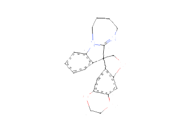 c1ccc2c(c1)N1CCCCN=C1C21COc2cc3c(cc21)OCCO3